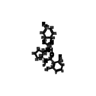 CN(C(=O)c1c(F)cccc1F)[C@@H]1CCC[C@H]1Nc1nc2ccc(F)cc2s1